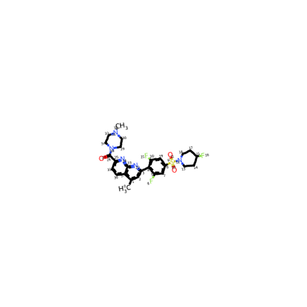 Cc1cc(-c2c(F)cc(S(=O)(=O)N3CCC(F)CC3)cc2F)nc2nc(C(=O)N3CCN(C)CC3)ccc12